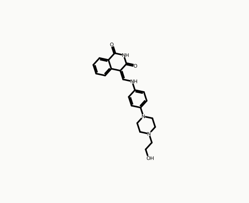 O=C1NC(=O)c2ccccc2C1=CNc1ccc(N2CCN(CCO)CC2)cc1